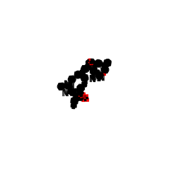 Cc1nc(C)nc(-c2cc(-n3c4ccccc4c4ccc(-n5c6ccccc6c6ccccc65)cc43)c(-n3c4ccccc4c4ccc(-n5c6ccccc6c6cc(CC(C)(C)c7ccc8c(c7)c7cc(C(C)(C)C)ccc7n8-c7cc(-c8nc(-c9ccccc9)nc(-c9ccccc9)n8)c(C#N)cc7-n7c8ccc(C(C)(C)C)cc8c8cc(C(C)(C)C)ccc87)ccc65)cc43)cc2C#N)n1